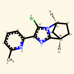 Cc1cccc(-c2nc3n(c2Br)[C@H]2CC[C@@H]3C2)n1